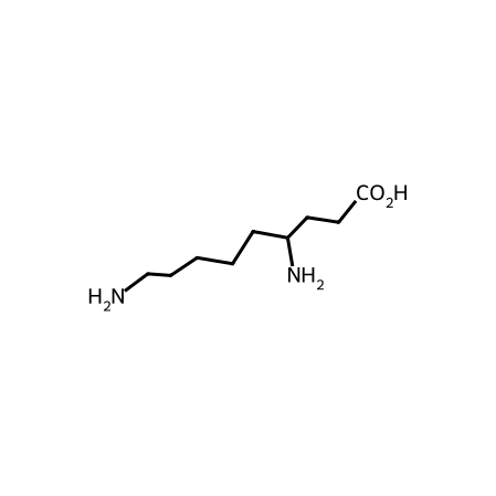 NCCCCCC(N)CCC(=O)O